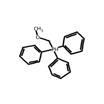 CO[CH][PH](c1ccccc1)(c1ccccc1)c1ccccc1